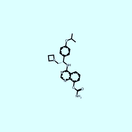 CC(C)Oc1ccc([C@@H](CN2CCC2)Nc2ncnc3c(OC(N)=O)cccc23)cc1